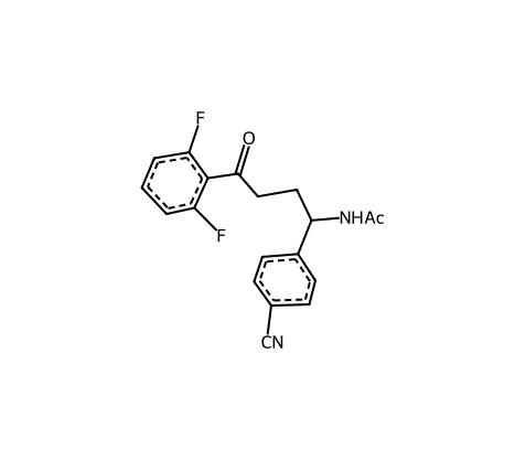 CC(=O)NC(CCC(=O)c1c(F)cccc1F)c1ccc(C#N)cc1